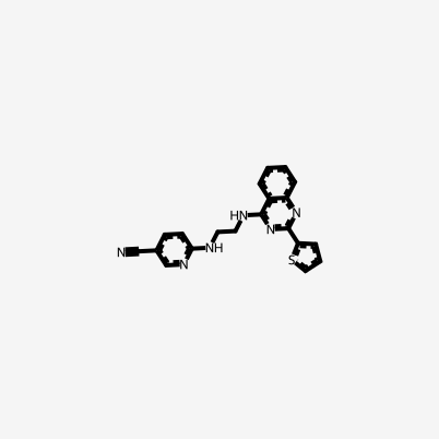 N#Cc1ccc(NCCNc2nc(-c3cccs3)nc3ccccc23)nc1